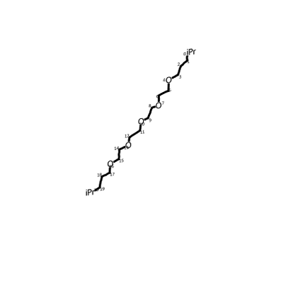 CC(C)CCCOCCOCCOCCOCCOCCCC(C)C